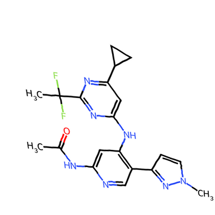 CC(=O)Nc1cc(Nc2cc(C3CC3)nc(C(C)(F)F)n2)c(-c2ccn(C)n2)cn1